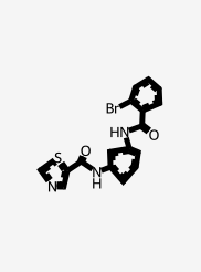 O=C(Nc1cccc(NC(=O)c2ccccc2Br)c1)c1cncs1